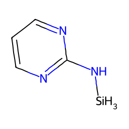 [SiH3]Nc1ncccn1